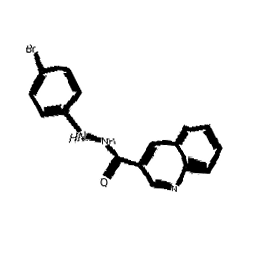 O=C(NNc1ccc(Br)cc1)c1cnc2ccccc2c1